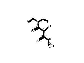 CCN(CC)C(=O)C(F)C(=O)CN